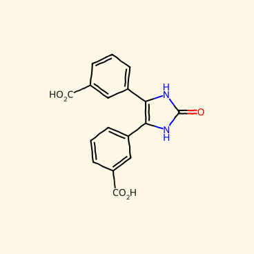 O=C(O)c1cccc(-c2[nH]c(=O)[nH]c2-c2cccc(C(=O)O)c2)c1